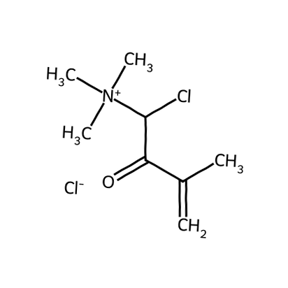 C=C(C)C(=O)C(Cl)[N+](C)(C)C.[Cl-]